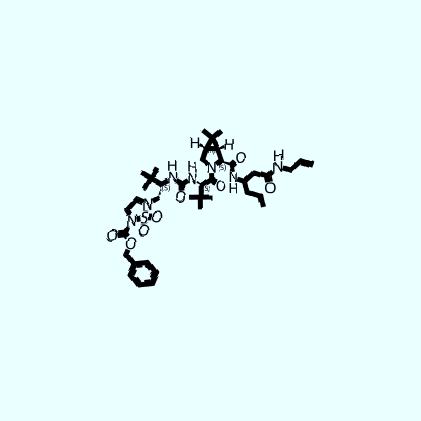 C=CCNC(=O)CC(CCC)NC(=O)[C@@H]1[C@@H]2[C@H](CN1C(=O)[C@@H](NC(=O)N[C@H](CN1CCN(C(=O)OCc3ccccc3)S1(=O)=O)C(C)(C)C)C(C)(C)C)C2(C)C